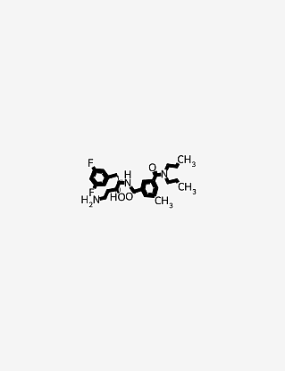 CCCN(CCC)C(=O)c1cc(C)cc(C(=O)N[C@@H](Cc2cc(F)cc(F)c2)[C@@H](O)CCN)c1